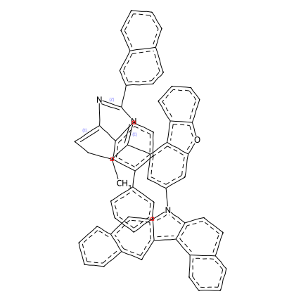 CC1C/C=C(c2cccc(-c3ccccc3)c2)/N=C(c2ccc3ccccc3c2)\N=C/1c1cc(-n2c3cc4ccccc4cc3c3c4ccccc4ccc32)cc2oc3ccccc3c12